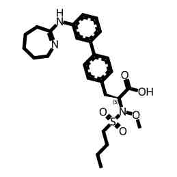 CCCCS(=O)(=O)N(OC)[C@@H](Cc1ccc(-c2cccc(NC3=NCCCCC3)c2)cc1)C(=O)O